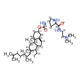 CC(C)CCC[C@@H](C)[C@H]1CCC2C3CC=C4CC(OC(=O)N[C@@H]5CNC(C(=O)NCCN(C)C)C5)CC[C@]4(C)C3CC[C@@]21C